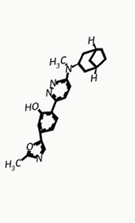 Cc1ncc(-c2ccc(-c3ccc(N(C)[C@H]4C[C@@H]5CC[C@@H](C5)C4)nn3)c(O)c2)o1